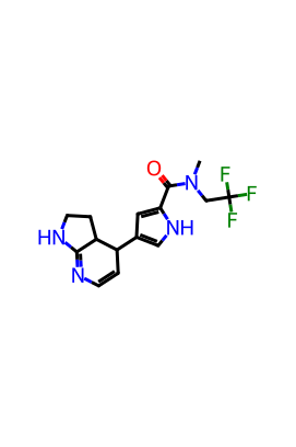 CN(CC(F)(F)F)C(=O)c1cc(C2C=CN=C3NCCC32)c[nH]1